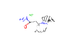 CCOC(=O)N[C@@H](CC(N)=O)C(=O)O.Cl